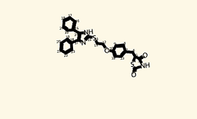 O=C1NC(=O)C(Cc2ccc(OCCSc3nc(-c4ccccc4)c(-c4ccccc4)[nH]3)cc2)S1